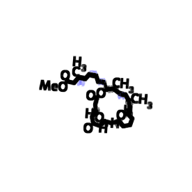 COC(=O)C/C(C)=C/C=C\C=C\[C@@H]1OC(=O)C[C@@H]2CC(=O)C[C@H](C[C@@H]3CCC[C@H](C[C@@H](C)/C=C/[C@@H]1C)O3)O2